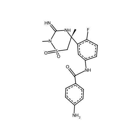 CN1C(=N)N[C@](C)(c2cc(NC(=O)c3ccc(N)cc3)ccc2F)CS1(=O)=O